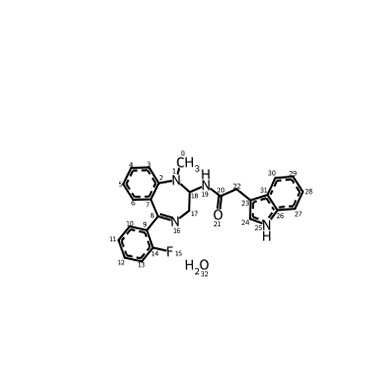 CN1c2ccccc2C(c2ccccc2F)=NCC1NC(=O)Cc1c[nH]c2ccccc12.O